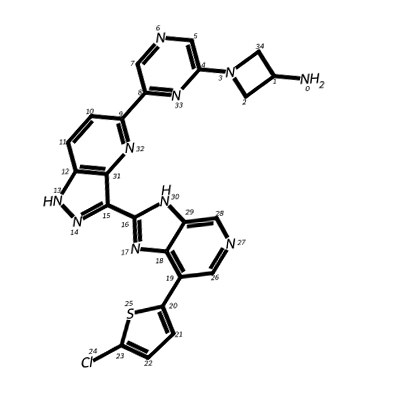 NC1CN(c2cncc(-c3ccc4[nH]nc(-c5nc6c(-c7ccc(Cl)s7)cncc6[nH]5)c4n3)n2)C1